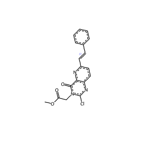 COC(=O)Cn1c(Cl)nc2ccc(/C=C/c3ccccc3)nc2c1=O